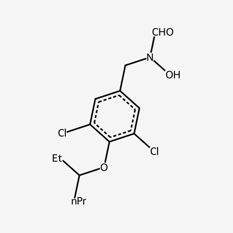 CCCC(CC)Oc1c(Cl)cc(CN(O)C=O)cc1Cl